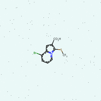 O=C(O)c1cc2c(Br)cccn2c1SC(F)(F)F